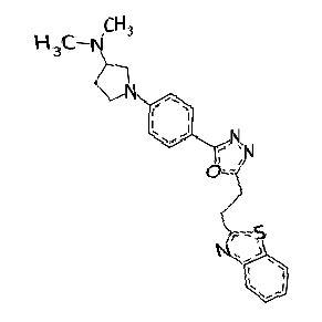 CN(C)C1CCN(c2ccc(-c3nnc(CCc4nc5ccccc5s4)o3)cc2)C1